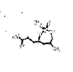 CCCCC(CC)CCC1CC(C)COS(=O)(=O)O1.[Na]